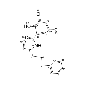 O=[C][C@@H](CCCc1ccccc1)NC(=O)c1cc(Cl)cc(Cl)c1O